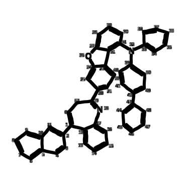 C1=C(c2ccc3ccccc3c2)c2ccccc2N=C(c2ccc3c(c2)oc2cccc(N(c4ccccc4)c4ccc(-c5ccccc5)cc4)c23)C1